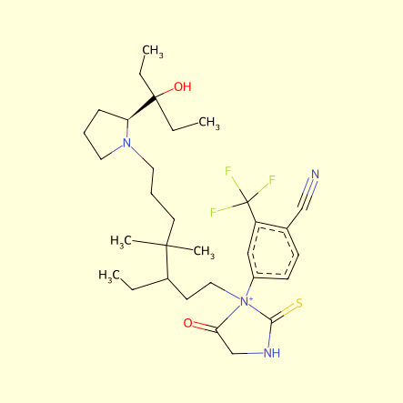 CCC(CC[N+]1(c2ccc(C#N)c(C(F)(F)F)c2)C(=O)CNC1=S)C(C)(C)CCCN1CCC[C@H]1C(O)(CC)CC